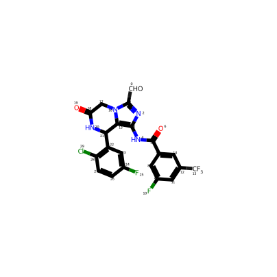 O=Cc1nc(NC(=O)c2cc(F)cc(C(F)(F)F)c2)c2n1CC(=O)NC2c1cc(F)ccc1Cl